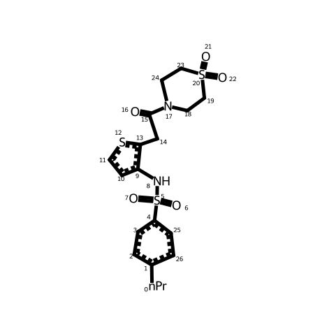 CCCc1ccc(S(=O)(=O)Nc2ccsc2CC(=O)N2CCS(=O)(=O)CC2)cc1